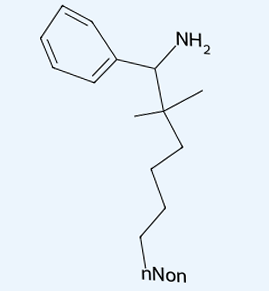 CCCCCCCCCCCCCC(C)(C)C(N)c1ccccc1